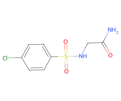 NC(=O)CNS(=O)(=O)c1ccc(Cl)cc1